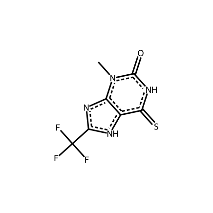 Cn1c(=O)[nH]c(=S)c2[nH]c(C(F)(F)F)nc21